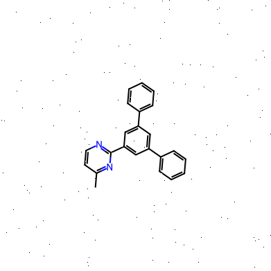 Cc1ccnc(-c2cc(-c3ccccc3)cc(-c3ccccc3)c2)n1